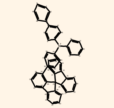 c1ccc(-c2ccc(N(c3ccccc3)c3ccc(-c4cccc5c4C4(c6ccccc6-c6ccccc64)c4ccccc4-5)cc3)cc2)cc1